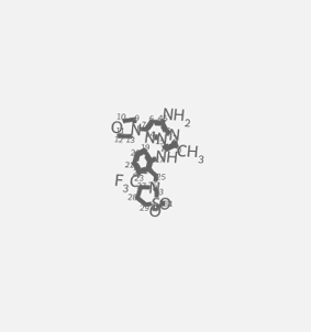 Cc1nc2c(N)cc(N3CCOCC3)nn2c1Nc1cccc(C(F)(F)F)c1CN1CCCS(=O)(=O)C1